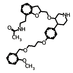 COc1ccccc1COCCCOc1ccc(C2CCNCC2OCC2Cc3cccc(CCNC(C)=O)c3O2)cc1